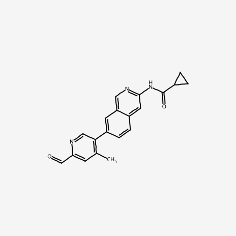 Cc1cc(C=O)ncc1-c1ccc2cc(NC(=O)C3CC3)ncc2c1